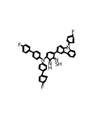 N=C1C(N(c2ccc(-c3ccc(F)cc3)cc2)c2ccc(-c3ccc(F)cc3)cc2)=CC=C(c2ccc3c(c2)c2ccccc2n3-c2ccc(F)cc2)/C1=N/S